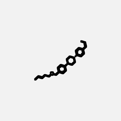 C/C=C\c1ccc([C@H]2CC[C@H](c3ccc(COCC/C=C/C)cc3)CC2)cc1